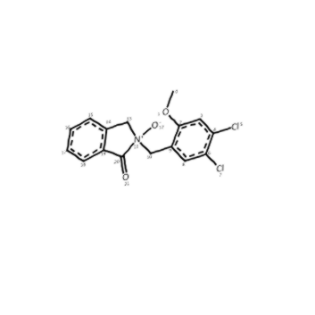 COc1cc(Cl)c(Cl)cc1C[N+]1([O-])Cc2ccccc2C1=O